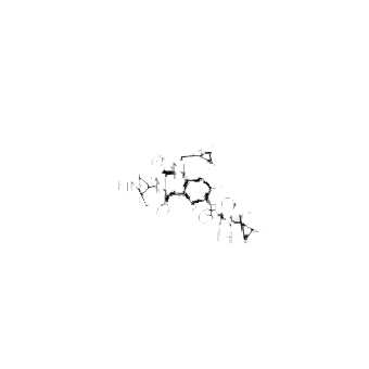 CC1NCC1n1c(=O)c2cc(S(=O)(=O)NC3(C)CC3)ccc2n(CC2CC2)c1=O